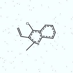 C=Cc1c(C)nc2ccccc2c1Cl